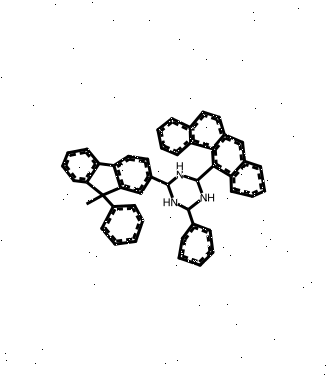 CC1(c2ccccc2)c2ccccc2-c2ccc(C3NC(c4ccccc4)NC(c4c5ccccc5cc5ccc6ccccc6c45)N3)cc21